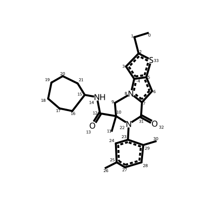 CCc1cc2c(cc3n2CC(C)(C(=O)NC2CCCCCC2)N(c2cc(C)ccc2C)C3=O)s1